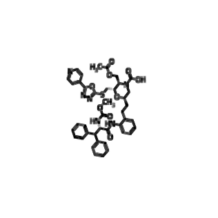 COC(=O)N[C@H](C(=O)Nc1ccccc1CC[C@@H]1CN(C(=O)O)[C@H](COC(C)=O)[C@@H](CSc2nnc(-c3ccncc3)o2)O1)C(c1ccccc1)c1ccccc1